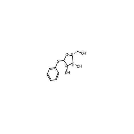 OC[C@H]1OC(Sc2ccccc2)[C@H](O)[C@H]1O